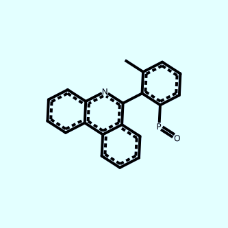 Cc1cccc(P=O)c1-c1nc2ccccc2c2ccccc12